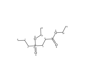 CCCP(=O)(CCC(=O)OCC)OCC